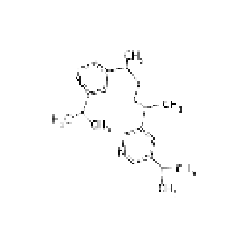 CC(C)c1cncc(C(C)CCC(C)c2ccnc(C(C)C)c2)c1